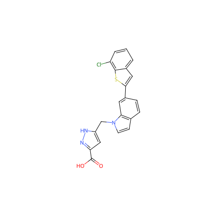 O=C(O)c1cc(Cn2ccc3ccc(-c4cc5cccc(Cl)c5s4)cc32)[nH]n1